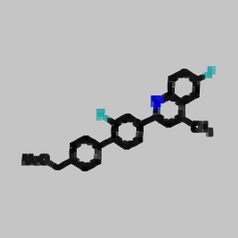 COCc1ccc(-c2ccc(-c3cc(C)c4cc(F)ccc4n3)cc2F)cc1